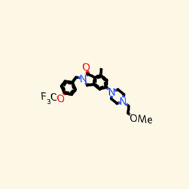 COCCN1CCN(c2cc(C)c3c(c2)CN(Cc2ccc(OC(F)(F)F)cc2)C3=O)CC1